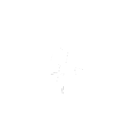 C=CCS(=O)(=O)N1CCNCC1C1CC1